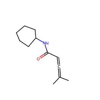 CC(C)=C=CC(=O)NC1CCCCC1